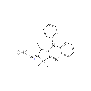 CC1=C2C(=Nc3ccccc3N2c2ccccc2)C(C)(C)/C1=C/C=O